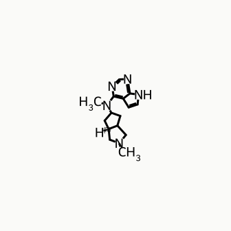 CN1CC2CC(N(C)c3ncnc4[nH]ccc34)C[C@H]2C1